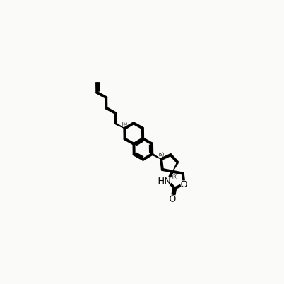 C=CCCCC[C@H]1CCc2cc([C@H]3CC[C@]4(COC(=O)N4)C3)ccc2C1